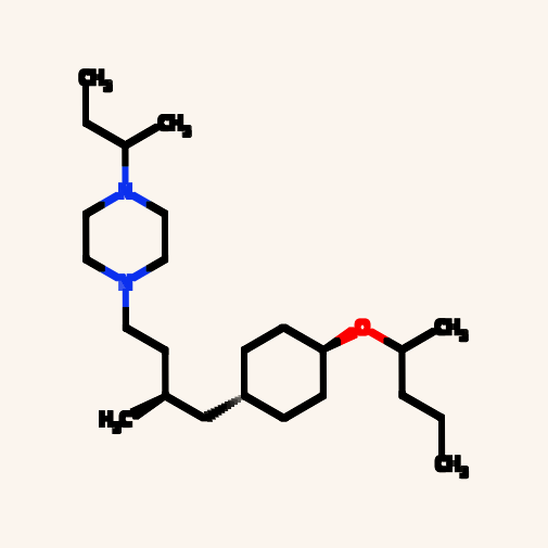 CCCC(C)O[C@H]1CC[C@H](C[C@@H](C)CCN2CCN(C(C)CC)CC2)CC1